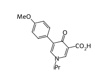 COc1ccc(-c2cn(C(C)C)cc(C(=O)O)c2=O)cc1